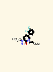 CSCCN1C[C@H](c2cccc(F)c2F)CC[C@@H](NC(=O)O)C1=O